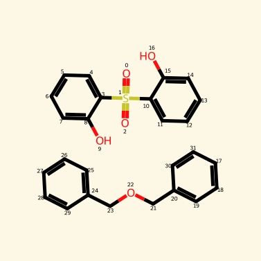 O=S(=O)(c1ccccc1O)c1ccccc1O.c1ccc(COCc2ccccc2)cc1